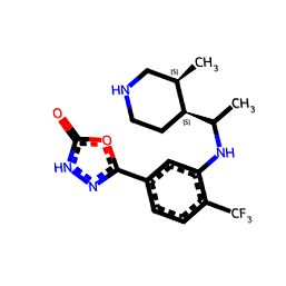 CC(Nc1cc(-c2n[nH]c(=O)o2)ccc1C(F)(F)F)[C@H]1CCNC[C@H]1C